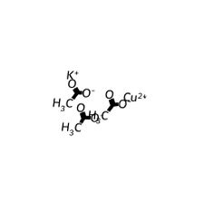 CC(=O)[O-].CC(=O)[O-].CC(=O)[O-].[Cu+2].[K+]